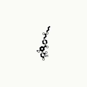 CCCCOC(=O)CCN1CCN(C(=O)c2ccc(OC)c(N3CCC(=O)NC3=O)c2)CC1